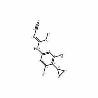 CS/C(=N\C#N)Nc1cc(Cl)c(C2CC2)c(Cl)c1